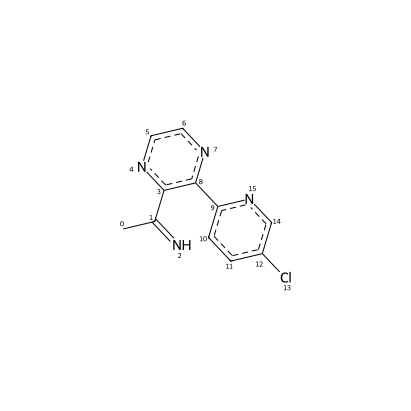 CC(=N)c1nccnc1-c1ccc(Cl)cn1